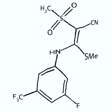 CS/C(Nc1cc(F)cc(C(F)(F)F)c1)=C(\C#N)S(C)(=O)=O